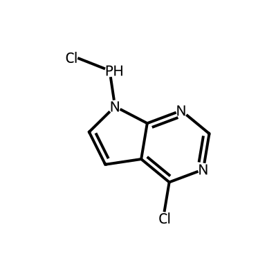 ClPn1ccc2c(Cl)ncnc21